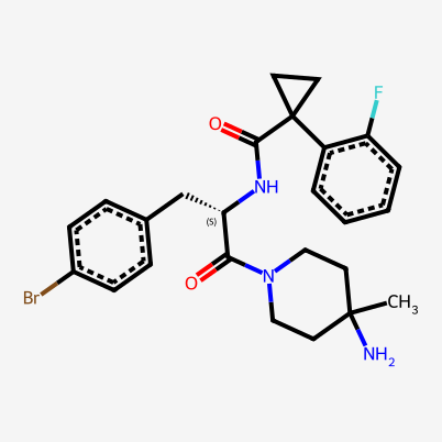 CC1(N)CCN(C(=O)[C@H](Cc2ccc(Br)cc2)NC(=O)C2(c3ccccc3F)CC2)CC1